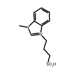 Cn1c[n+](CCCS(=O)(=O)O)c2ccccc21